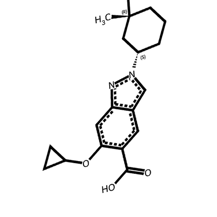 C[C@@]1(O)CCC[C@H](n2cc3cc(C(=O)O)c(OC4CC4)cc3n2)C1